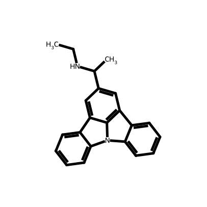 CCNC(C)c1cc2c3ccccc3n3c4ccccc4c(c1)c23